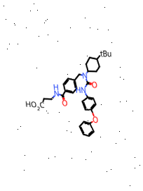 CC(C)(C)C1CCC(N(Cc2ccc(C(=O)NCCC(=O)O)cc2)C(=O)Nc2ccc(Oc3ccccc3)cc2)CC1